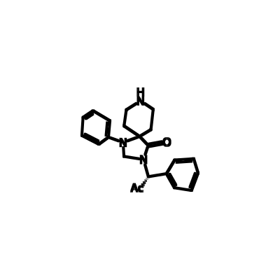 CC(=O)[C@@H](c1ccccc1)N1CN(c2ccccc2)C2(CCNCC2)C1=O